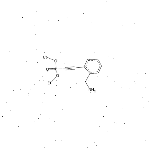 CCOP(=O)(C#Cc1ccccc1CN)OCC